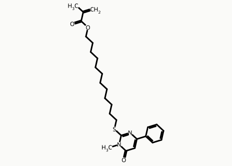 C=C(C)C(=O)OCCCCCCCCCCCCSc1nc(-c2ccccc2)cc(=O)n1C